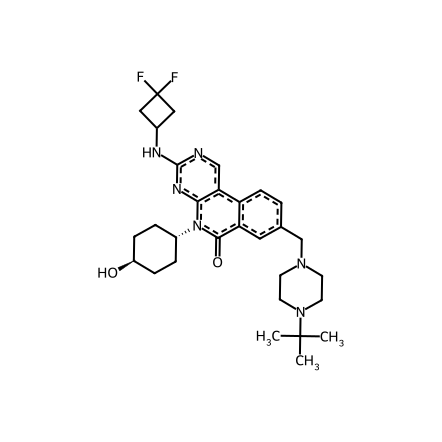 CC(C)(C)N1CCN(Cc2ccc3c(c2)c(=O)n([C@H]2CC[C@H](O)CC2)c2nc(NC4CC(F)(F)C4)ncc32)CC1